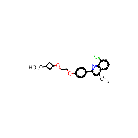 O=C(O)C1CC(OCCOc2ccc(-c3cc(C(F)(F)F)c4cccc(Cl)c4n3)cc2)C1